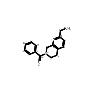 CCc1ccc2c(n1)CN(C(=O)c1ccccc1)CC2